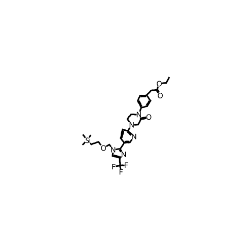 CCOC(=O)Cc1ccc(N2CCN(c3ccc(-c4nc(C(F)(F)F)cn4COCC[Si](C)(C)C)cn3)CC2=O)cc1